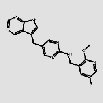 COc1ncc(F)cc1CNc1ncc(Cc2c[nH]c3ncncc23)cn1